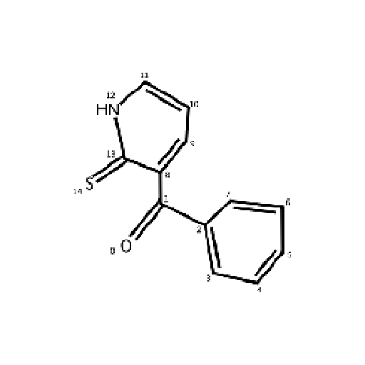 O=C(c1ccccc1)c1ccc[nH]c1=S